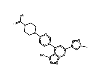 CCCC(=O)N1CCN(c2ccc(-c3cc(-c4cnn(C)c4)cn4ncc(C#N)c34)cn2)CC1